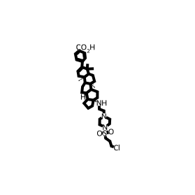 CC1(C)C(c2ccc(C(=O)O)cc2)=CC[C@@]2(C)C1CC[C@@]1(C)C3CC[C@@]4(NCCN5CCN(S(=O)(=O)CCCCl)CC5)CCCC4[C@H]3CCC12